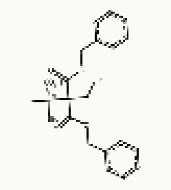 CC(C)CC(C(=O)OCc1ccccc1)(C(=O)OCc1ccccc1)[C@@](C)(C(=O)O)C(C)(C)C